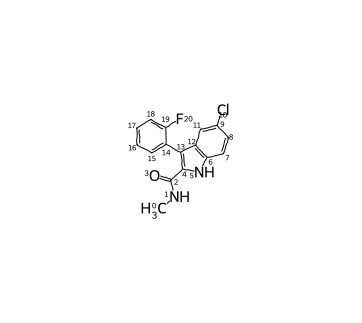 CNC(=O)c1[nH]c2ccc(Cl)cc2c1-c1ccccc1F